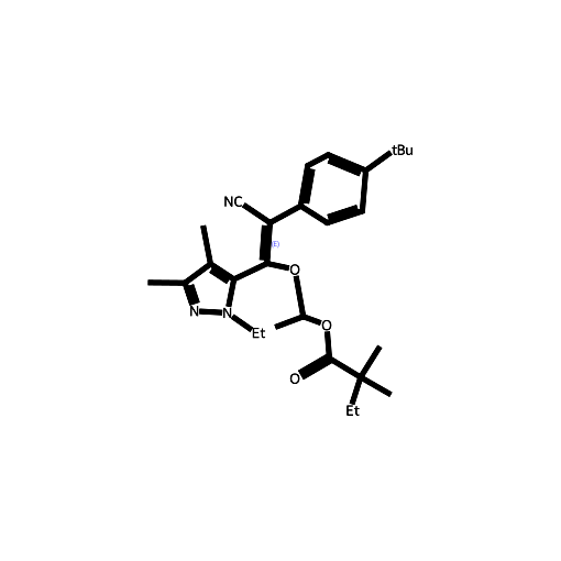 CCn1nc(C)c(C)c1/C(OC(C)OC(=O)C(C)(C)CC)=C(\C#N)c1ccc(C(C)(C)C)cc1